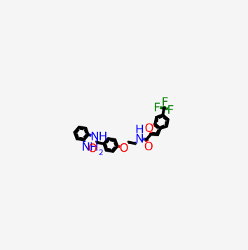 Nc1ccccc1NC(=O)c1ccc(OCCNC(=O)c2cc3ccc(C(F)(F)F)cc3o2)cc1